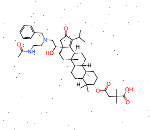 CC(=O)NCCN(Cc1ccccc1)C[C@H](O)[C@@]12CC[C@]3(C)[C@H](CC[C@@H]4[C@@]5(C)CC[C@H](OC(=O)CC(C)(C)C(=O)O)C(C)(C)[C@H]5CC[C@]43C)C1=C(C(C)C)C(=O)C2